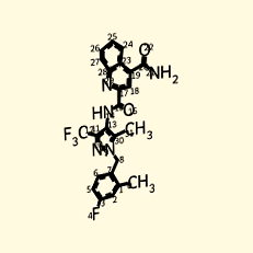 Cc1cc(F)ccc1Cn1nc(C(F)(F)F)c(NC(=O)c2cc(C(N)=O)c3ccccc3n2)c1C